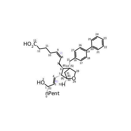 CCCCC[C@H](O)/C=C/[C@@H]1[C@@H](C/C=C\CCCC(=O)O)[C@@]2(Cc3ccc(-c4ccccc4)cc3)CO[C@@H]1C2